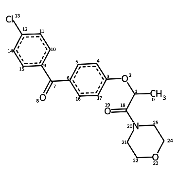 CC(Oc1ccc(C(=O)c2ccc(Cl)cc2)cc1)C(=O)N1CCOCC1